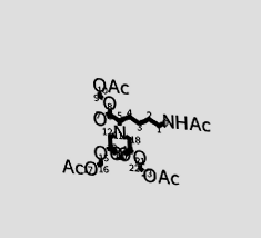 CC(=O)NCCCCC(C(=O)OCOC(C)=O)N(CC(=O)OCOC(C)=O)CC(=O)OCOC(C)=O